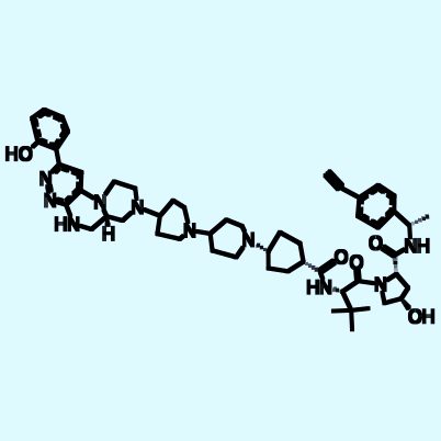 C#Cc1ccc([C@H](C)NC(=O)[C@@H]2C[C@@H](O)CN2C(=O)[C@@H](NC(=O)[C@H]2CC[C@@H](N3CCC(N4CCC(N5CCN6c7cc(-c8ccccc8O)nnc7NC[C@H]6C5)CC4)CC3)CC2)C(C)(C)C)cc1